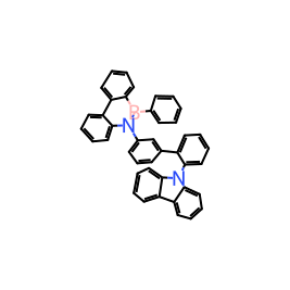 c1ccc(B2c3ccccc3-c3ccccc3N2c2cccc(-c3ccccc3-n3c4ccccc4c4ccccc43)c2)cc1